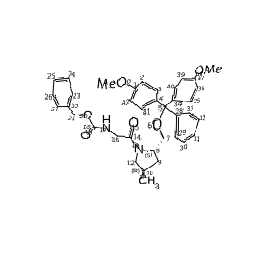 COc1ccc(C(OC[C@@H]2C[C@@H](C)CN2C(=O)CNC(=O)OCc2ccccc2)(c2ccccc2)c2ccc(OC)cc2)cc1